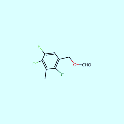 Cc1c(F)c(F)cc(COC=O)c1Cl